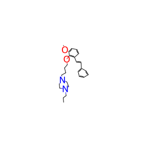 CCCN1CCN(CCCCOc2c(C=Cc3ccccc3)cccc2OC)CC1